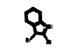 Brc1[nH]c2ccccc2c1Br